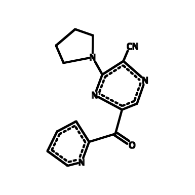 N#Cc1ncc(C(=O)c2ccccn2)nc1N1CCCC1